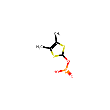 CC1=C(C)SC(O[PH](=O)O)S1